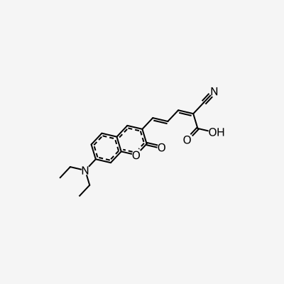 CCN(CC)c1ccc2cc(/C=C/C=C(/C#N)C(=O)O)c(=O)oc2c1